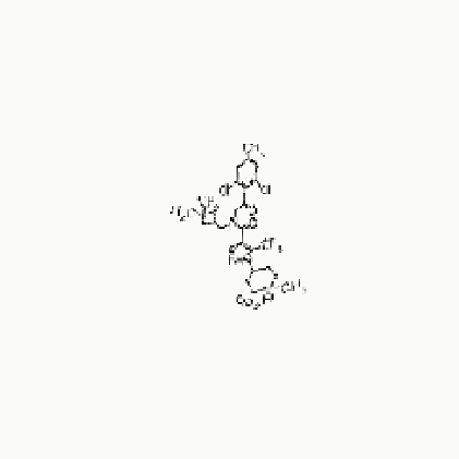 Cc1cc(Cl)c(C(=O)CN(CC2CC(C)(C)C2)C(=O)c2cnn(C3CCC(C)(C(=O)O)CC3)c2C(F)(F)F)c(Cl)c1